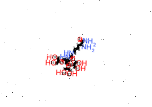 NC(=O)[C@H](N)CCCCNC(=O)NC(COC(CO)CO)(COC(CO)CO)COC(CO)CO